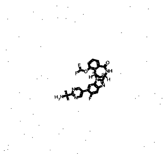 CC(C)(N)c1ncc(-c2cc3c(cc2F)nc2n3[C@H]3C[C@@H]2NC(=O)c2cccc(OC(F)F)c23)cn1